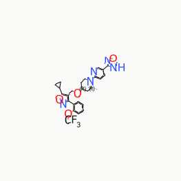 C[C@@H]1C[C@H](OCc2c(-c3ccccc3OC(F)(F)F)noc2C2CC2)CCN1c1ccc(C2=NOCN2)cn1